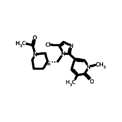 CC(=O)N1CCC[C@@H](Cn2c(Cl)cnc2-c2cc(C)c(=O)n(C)c2)C1